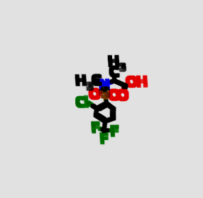 C[C@@H](C(=O)O)N(C)S(=O)(=O)c1ccc(C(F)(F)F)cc1Cl